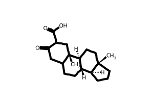 C[C@@]12CCC[C@H]1[C@@H]1CCC3CC(=O)C(C(=O)O)C[C@]3(C)[C@H]1CC2